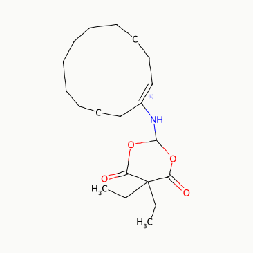 CCC1(CC)C(=O)OC(N/C2=C/CCCCCCCCCC2)OC1=O